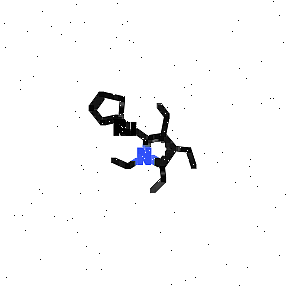 CCc1c(CC)[c]([Ru][C]2=CC=CC2)n(CC)c1CC